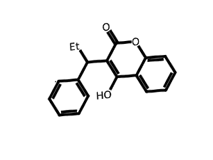 CCC(c1[c]cccc1)c1c(O)c2ccccc2oc1=O